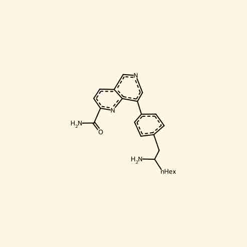 CCCCCCC(N)Cc1ccc(-c2cncc3ccc(C(N)=O)nc23)cc1